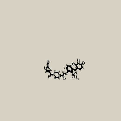 Cn1nc(C2CCC(=O)NC2=O)c2cccc(OCC(=O)N3CCN(C(=O)c4cnc(C#N)s4)CC3)c21